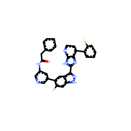 O=C(Cc1ccccc1)Nc1cncc(-c2cc3c(-c4nc5c(-c6ccccc6F)ccnc5[nH]4)n[nH]c3cc2F)c1